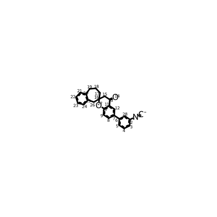 [C-]#[N+]c1cccc(-c2ccc3c(c2)C(=O)CC2(CCCc4ccccc4C2)O3)c1